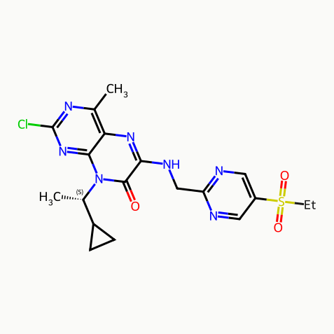 CCS(=O)(=O)c1cnc(CNc2nc3c(C)nc(Cl)nc3n([C@@H](C)C3CC3)c2=O)nc1